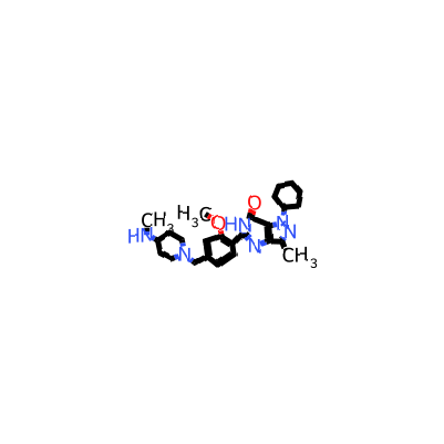 CNC1CCN(Cc2ccc(-c3nc4c(C)nn(C5CCCCC5)c4c(=O)[nH]3)c(OC)c2)CC1